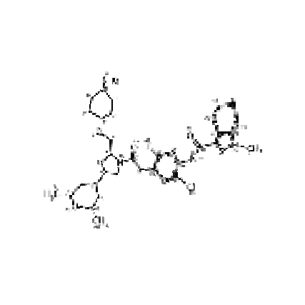 C[C@@H]1CN([C@H]2C[C@@H](CO[C@H]3CC[C@H](C=O)CC3)N(C(=O)Cc3cc(Cl)c(NC(=O)c4cn(C)c5ccccc45)cc3F)C2)C[C@H](C)O1